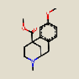 COC(=O)C12CCN(C)C(Cc3ccc(OC)cc31)C2